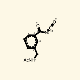 CC(=O)NCc1cccc(C(=O)N=C=O)c1